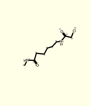 CNC(=O)CCCCCNC(=O)CCl